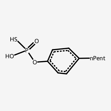 CCCCCc1ccc(OP(=O)(O)S)cc1